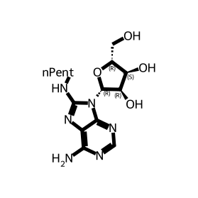 CCCCCNc1nc2c(N)ncnc2n1[C@@H]1O[C@H](CO)[C@@H](O)[C@H]1O